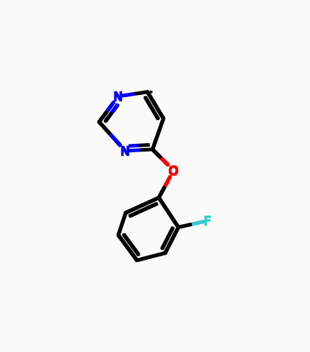 Fc1ccccc1Oc1c[c]ncn1